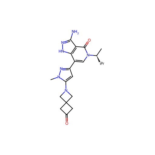 CC(C)[C@H](C)n1cc(-c2cc(N3CC4(CC(=O)C4)C3)n(C)n2)c2[nH]nc(N)c2c1=O